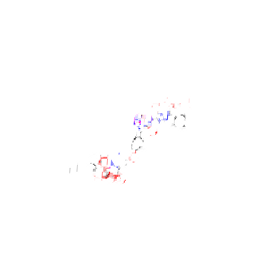 CC(C)(C)OC(=O)NC(CCOc1ccc(C(=NO)C(=O)NC2CN(C(C(=O)O)c3ccccc3)C2=O)cc1)C(=O)O